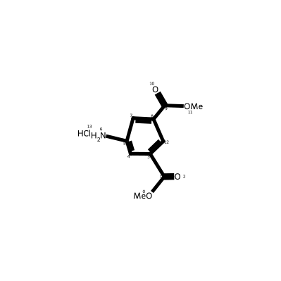 COC(=O)c1cc(N)cc(C(=O)OC)c1.Cl